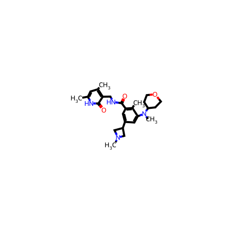 Cc1cc(C)c(CNC(=O)c2cc(C3CN(C)C3)cc(N(C)C3CCOCC3)c2C)c(=O)[nH]1